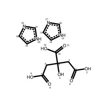 O=C(O)CC(O)(CC(=O)O)C(=O)O.c1c[nH]cn1.c1c[nH]cn1